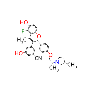 CC1=C(c2cc(O)cc(C#N)c2)C(c2ccc(OCC(C)N3CCC(C)C3)cc2)Oc2ccc(O)c(F)c21